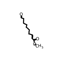 COC(=O)C=CCCCCCCC=O